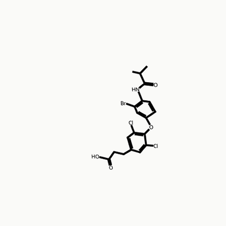 CC(C)C(=O)Nc1ccc(Oc2c(Cl)cc(CCC(=O)O)cc2Cl)cc1Br